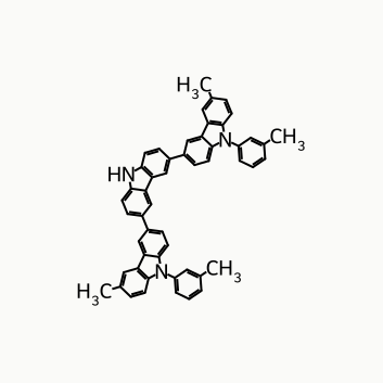 Cc1cccc(-n2c3ccc(C)cc3c3cc(-c4ccc5[nH]c6ccc(-c7ccc8c(c7)c7cc(C)ccc7n8-c7cccc(C)c7)cc6c5c4)ccc32)c1